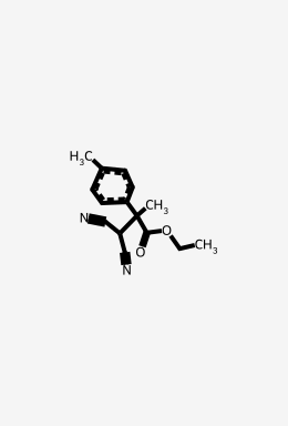 CCOC(=O)C(C)(c1ccc(C)cc1)C(C#N)C#N